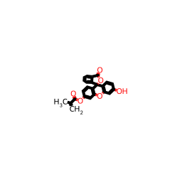 C=C(C)C(=O)Oc1ccc2c(c1)Oc1cc(O)ccc1C21OC(=O)c2ccccc21